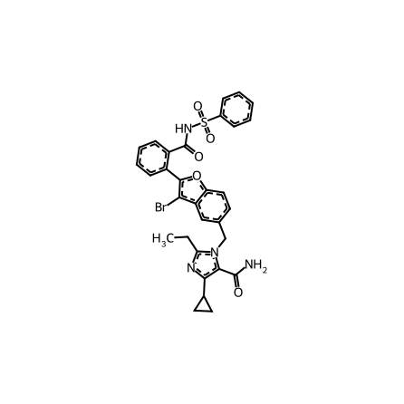 CCc1nc(C2CC2)c(C(N)=O)n1Cc1ccc2oc(-c3ccccc3C(=O)NS(=O)(=O)c3ccccc3)c(Br)c2c1